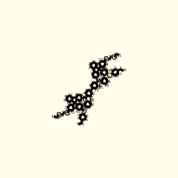 C=Cc1ccc(Oc2ccc(C3(c4ccc(OCCOCC)cc4)c4ccccc4-c4ccc(N(c5ccc(-c6ccc(N(c7ccc8c(c7)C(c7ccc(OCCOCC)cc7)(c7ccc(Oc9ccc(C=C)cc9)cc7)c7ccccc7-8)c7ccccc7F)cc6)cc5)c5ccccc5F)cc43)cc2)cc1